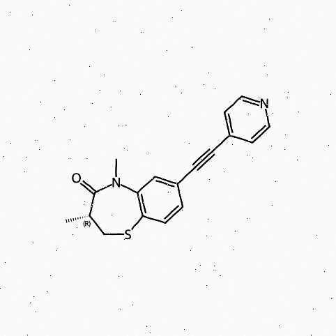 C[C@H]1CSc2ccc(C#Cc3ccncc3)cc2N(C)C1=O